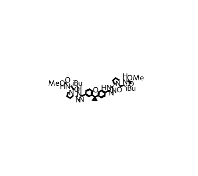 CC[C@H](C)[C@H](NC(=O)OC)C(=O)N1CCC[C@H]1c1nnc(-c2ccc3c(c2)Oc2ccc(-c4nnc([C@@H]5CCCN5C(=O)[C@@H](NC(=O)OC)[C@@H](C)CC)[nH]4)cc2C32CC2)[nH]1